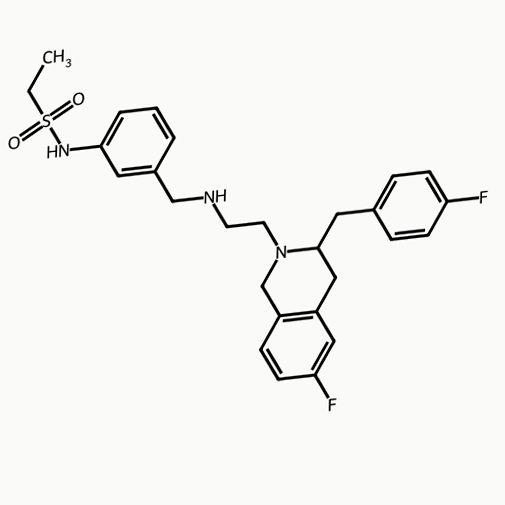 CCS(=O)(=O)Nc1cccc(CNCCN2Cc3ccc(F)cc3CC2Cc2ccc(F)cc2)c1